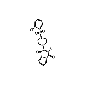 O=C1C(Cl)=C(N2CCN(S(=O)(=O)c3ccccc3Cl)CC2)C(=O)c2ccccc21